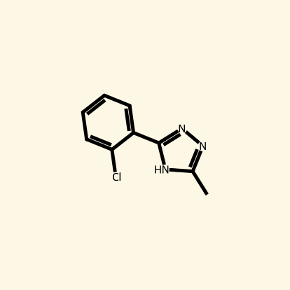 Cc1nnc(-c2ccccc2Cl)[nH]1